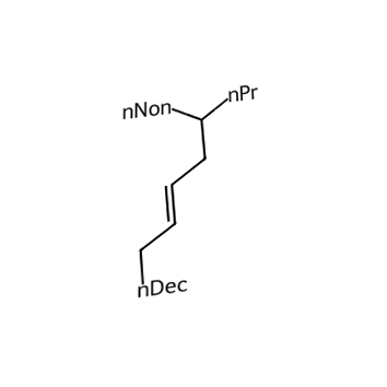 [CH2]CCCCCCCCCCC=CCC(CCC)CCCCCCCC[CH2]